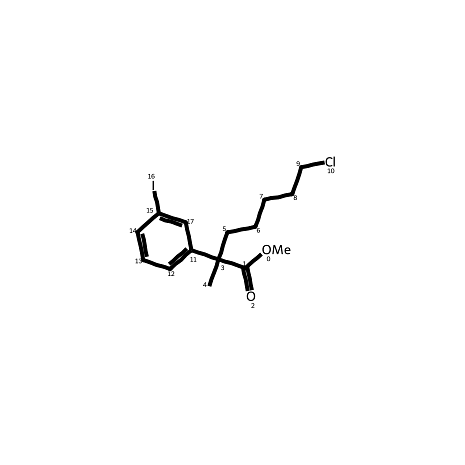 COC(=O)C(C)(CCCCCCl)c1cccc(I)c1